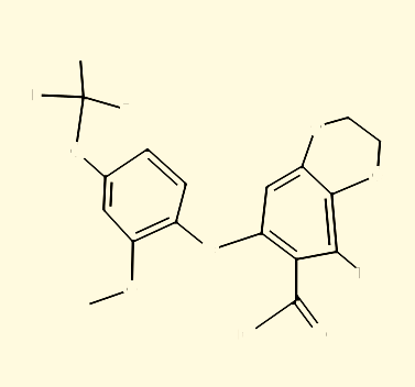 COc1cc(OC(F)(F)F)ccc1Oc1cc2c(c(F)c1C(=O)O)OCCO2